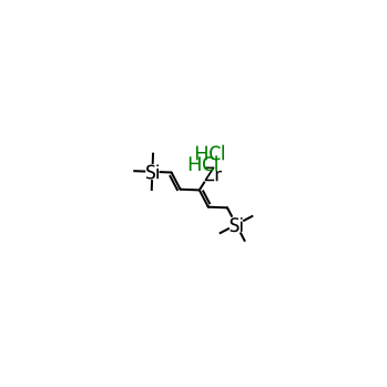 C[Si](C)(C)C=C[C]([Zr])=CC[Si](C)(C)C.Cl.Cl